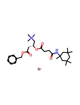 CC1(C)CC(C)(C)CC(C)(NC(=O)CCC(=O)O[C@H](CC(=O)OCc2ccccc2)C[N+](C)(C)C)C1.[Br-]